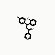 C=C(CC(c1ccc(I)cc1)c1ccccc1C)c1ccncc1